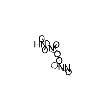 O=C1CCC(N2Cc3cc(O[C@H]4CCCC[C@@H]4NCc4ccccn4)ccc3C2=O)C(=O)N1